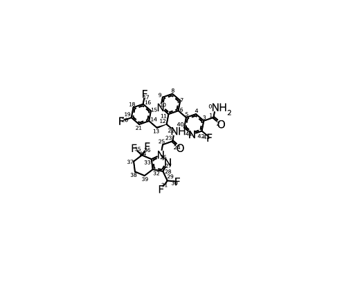 NC(=O)c1cc(-c2cccnc2[C@H](Cc2cc(F)cc(F)c2)NC(=O)Cn2nc(C(F)F)c3c2C(F)(F)CCC3)cnc1F